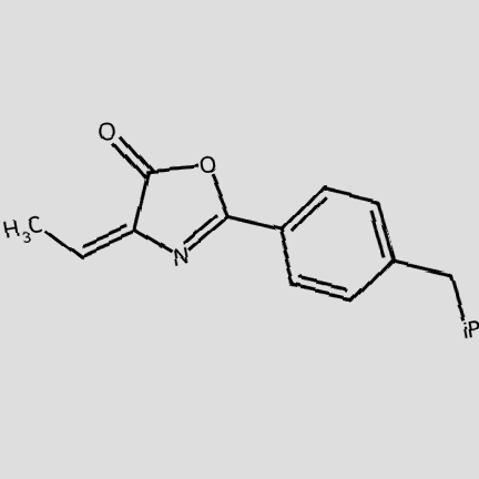 C/C=C1/N=C(c2ccc(CC(C)C)cc2)OC1=O